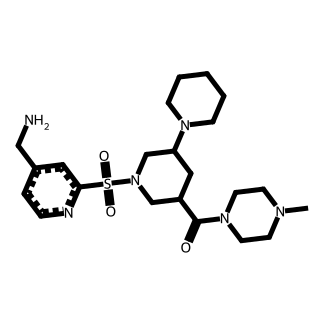 CN1CCN(C(=O)C2CC(N3CCCCC3)CN(S(=O)(=O)c3cc(CN)ccn3)C2)CC1